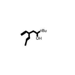 C=CC(C=CC)CC(O)CCCC